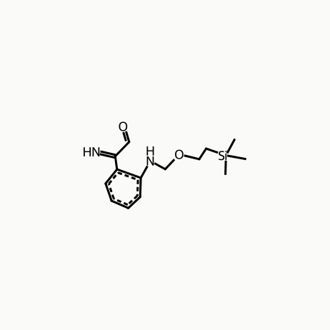 C[Si](C)(C)CCOCNc1ccccc1C(=N)C=O